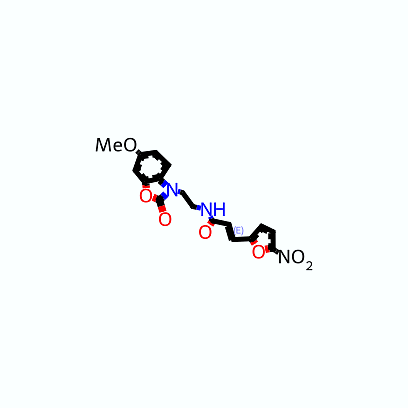 COc1ccc2c(c1)oc(=O)n2CCNC(=O)/C=C/c1ccc([N+](=O)[O-])o1